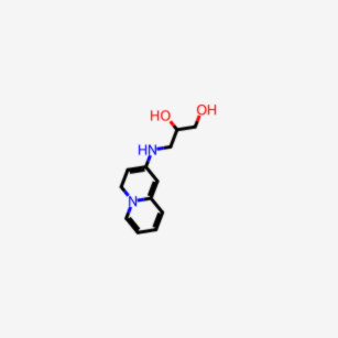 OCC(O)CNC1=CCN2C=CC=CC2=C1